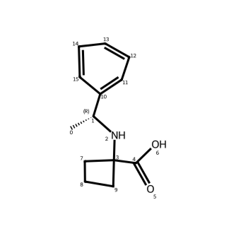 C[C@@H](NC1(C(=O)O)CCC1)c1ccccc1